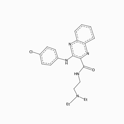 CCN(CC)CCNC(=O)c1nc2ccccc2nc1Nc1ccc(Cl)cc1